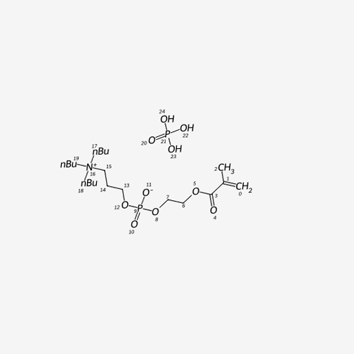 C=C(C)C(=O)OCCOP(=O)([O-])OCCC[N+](CCCC)(CCCC)CCCC.O=P(O)(O)O